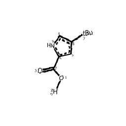 [2H]OC(=O)c1cc(C(C)(C)C)c[nH]1